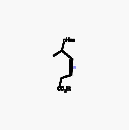 CCCCCCC(C)/C=C\CC(=O)OCC